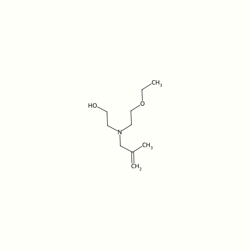 C=C(C)CN(CCO)CCOCC